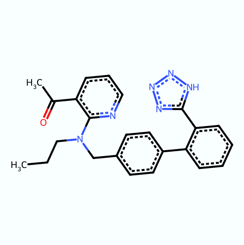 CCCN(Cc1ccc(-c2ccccc2-c2nnn[nH]2)cc1)c1ncccc1C(C)=O